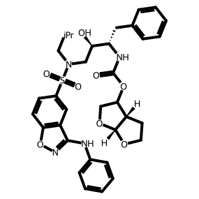 CC(C)CN(C[C@@H](O)[C@H](Cc1ccccc1)NC(=O)OC1CO[C@H]2OCC[C@@H]12)S(=O)(=O)c1ccc2onc(Nc3ccccc3)c2c1